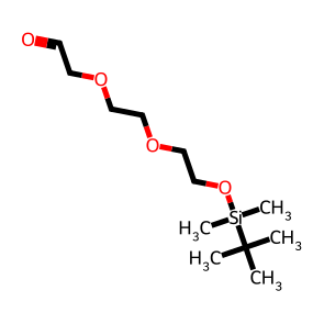 CC(C)(C)[Si](C)(C)OCCOCCOCC=O